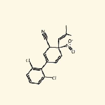 CC(C)=CC1([N+](=O)[O-])C=CC(c2c(Cl)cccc2Cl)=CC1C#N